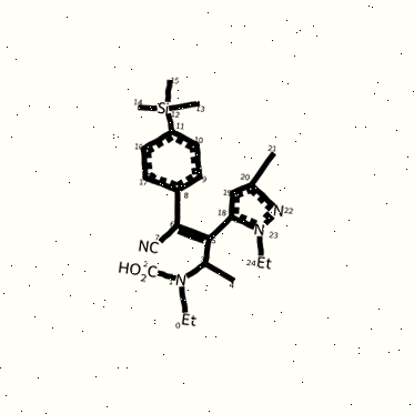 CCN(C(=O)O)C(C)/C(=C(\C#N)c1ccc([Si](C)(C)C)cc1)c1cc(C)nn1CC